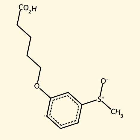 C[S+]([O-])c1cc[c]c(OCCCCC(=O)O)c1